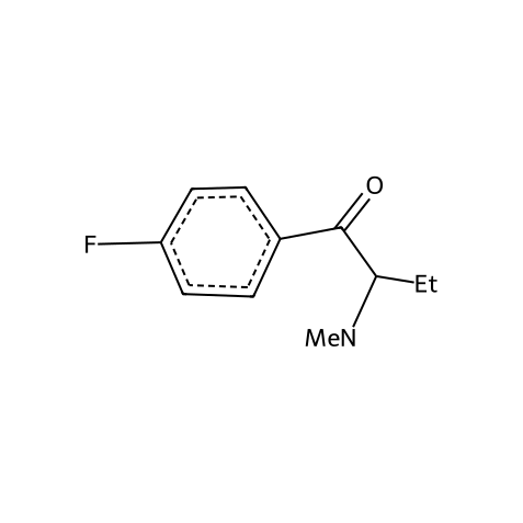 CCC(NC)C(=O)c1ccc(F)cc1